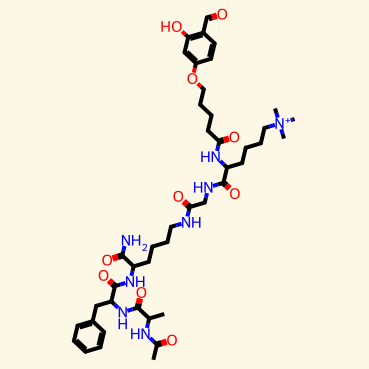 CC(=O)NC(C)C(=O)NC(Cc1ccccc1)C(=O)NC(CCCCNC(=O)CNC(=O)C(CCCC[N+](C)(C)C)NC(=O)CCCCOc1ccc(C=O)c(O)c1)C(N)=O